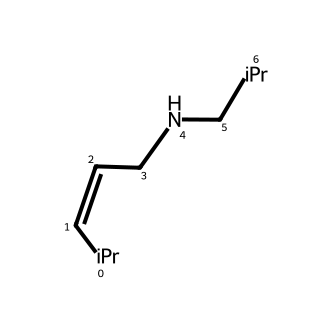 CC(C)/C=C\CNCC(C)C